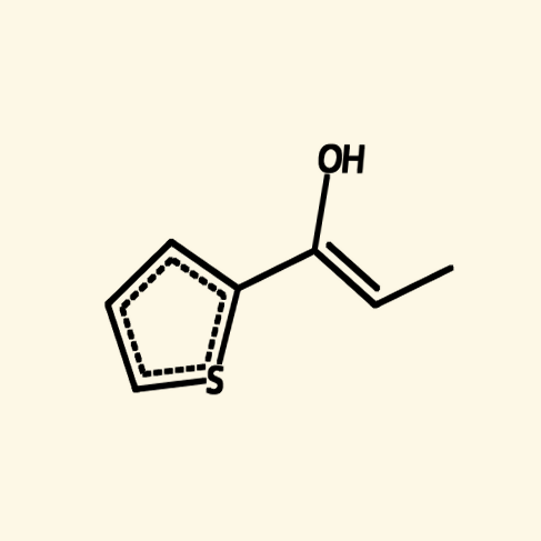 C/C=C(\O)c1cccs1